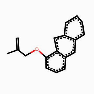 C=C(C)COc1cccc2cc3ccccc3cc12